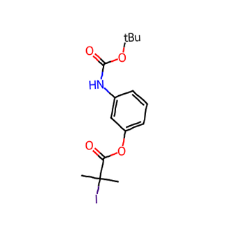 CC(C)(C)OC(=O)Nc1cccc(OC(=O)C(C)(C)I)c1